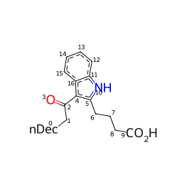 CCCCCCCCCCCC(=O)c1c(CCCC(=O)O)[nH]c2ccccc12